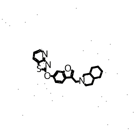 c1cnc2nc(Oc3ccc4c(CN5CCC6CCCCC6C5)coc4c3)sc2c1